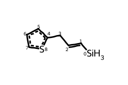 [SiH3]C=CCc1cccs1